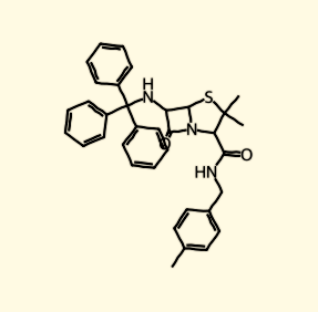 Cc1ccc(CNC(=O)C2N3C(=O)C(NC(c4ccccc4)(c4ccccc4)c4ccccc4)C3SC2(C)C)cc1